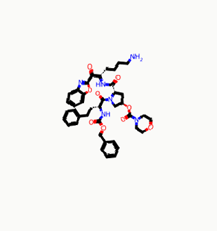 NCCCC[C@H](NC(=O)[C@@H]1C[C@@H](OC(=O)N2CCOCC2)CN1C(=O)[C@@H](CCc1ccccc1)NC(=O)OCc1ccccc1)C(=O)c1nc2ccccc2o1